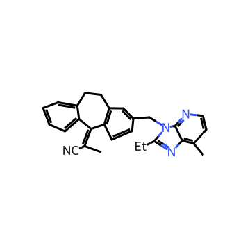 CCc1nc2c(C)ccnc2n1Cc1ccc2c(c1)CCc1ccccc1C2=C(C)C#N